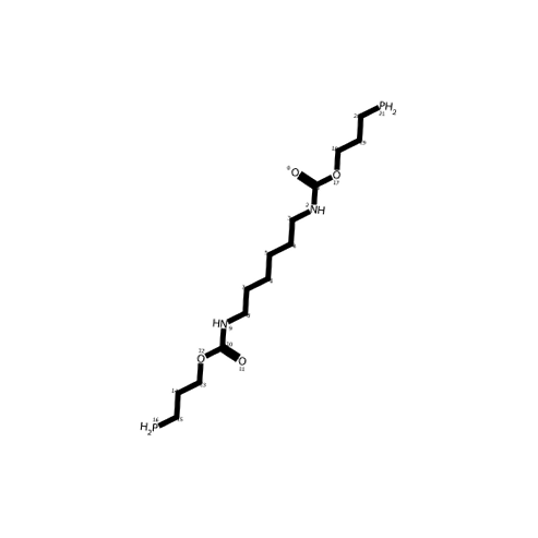 O=C(NCCCCCCNC(=O)OCCCP)OCCCP